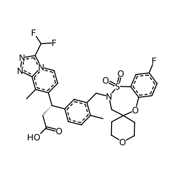 Cc1ccc([C@H](CC(=O)O)c2ccn3c(C(F)F)nnc3c2C)cc1CN1CC2(CCOCC2)Oc2ccc(F)cc2S1(=O)=O